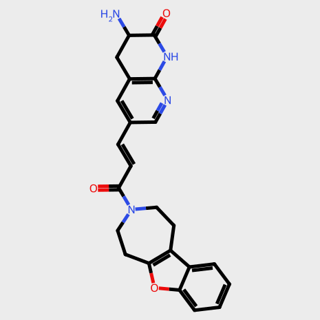 NC1Cc2cc(/C=C/C(=O)N3CCc4oc5ccccc5c4CC3)cnc2NC1=O